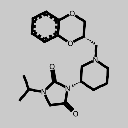 CC(C)N1CC(=O)N([C@H]2CCCN(C[C@H]3COc4ccccc4O3)C2)C1=O